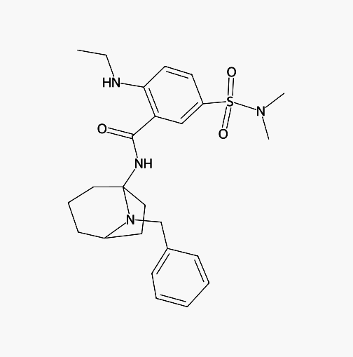 CCNc1ccc(S(=O)(=O)N(C)C)cc1C(=O)NC12CCCC(CC1)N2Cc1ccccc1